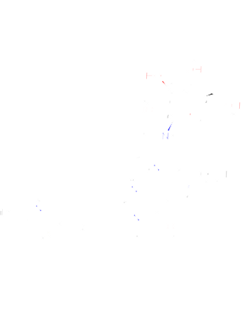 CC(C)c1csc(CCc2ccn3c(=O)c(/C=C/C(=O)O)c(N4CCN([C@@H]5O[C@H](CO)[C@@H](O)[C@H](O)[C@H]5O)CC4)nc3c2)n1